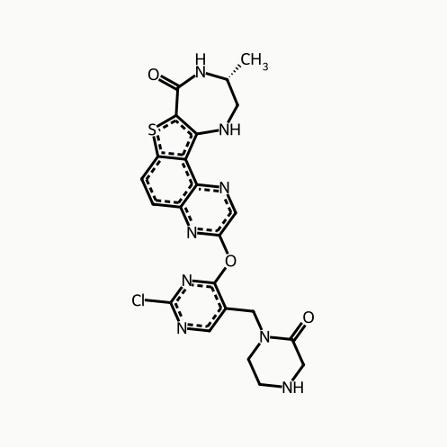 C[C@@H]1CNc2c(sc3ccc4nc(Oc5nc(Cl)ncc5CN5CCNCC5=O)cnc4c23)C(=O)N1